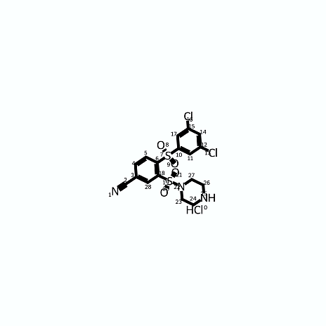 Cl.N#Cc1ccc(S(=O)(=O)c2cc(Cl)cc(Cl)c2)c(S(=O)(=O)N2CCNCC2)c1